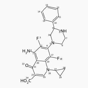 Nc1c(F)c(N2CCNC(c3ccccc3)C2)c(F)c2c1c(=O)c(C(=O)O)cn2C1CC1